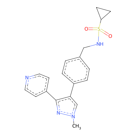 Cn1cc(-c2ccc(CNS(=O)(=O)C3CC3)cc2)c(-c2ccncc2)n1